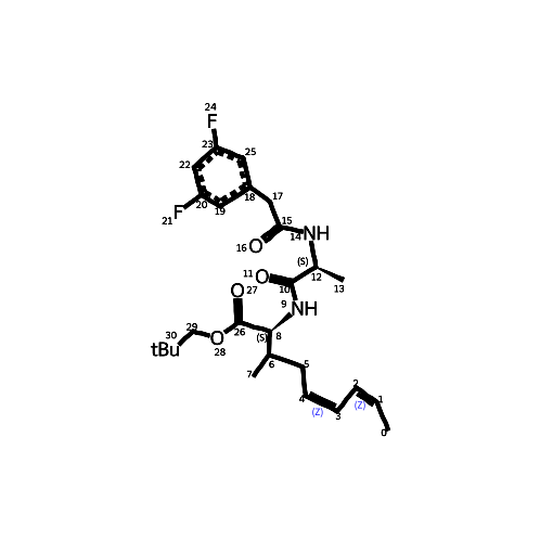 C/C=C\C=C/CC(C)[C@H](NC(=O)[C@H](C)NC(=O)Cc1cc(F)cc(F)c1)C(=O)OCC(C)(C)C